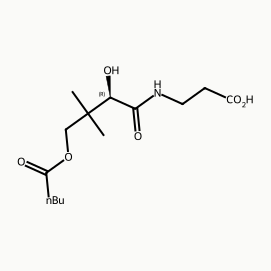 CCCCC(=O)OCC(C)(C)[C@@H](O)C(=O)NCCC(=O)O